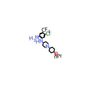 CCCO[C@H]1CC[C@H](N2CCC(Nc3cc(Cl)c(C(F)(F)F)cc3N)CC2)CC1